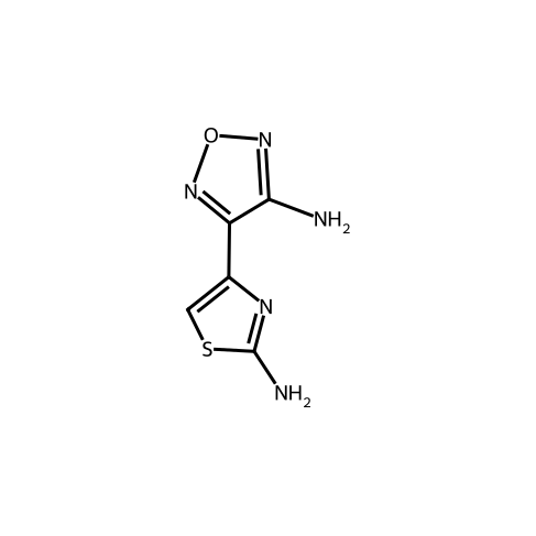 Nc1nc(-c2nonc2N)cs1